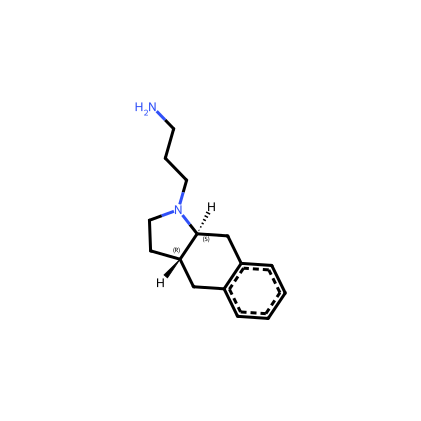 NCCCN1CC[C@H]2Cc3ccccc3C[C@@H]21